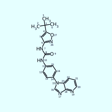 CC(C)(C)c1cc(NC(=O)Nc2ccc(-n3cnc4ncccc43)cc2)no1